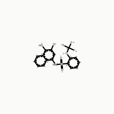 O=S(=O)(Nc1cc(Cl)c(O)c2ccccc12)c1ccccc1OC(F)(F)F